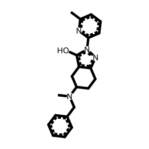 Cc1cccc(-n2nc3c(c2O)CC(N(C)Cc2ccccc2)CC3)n1